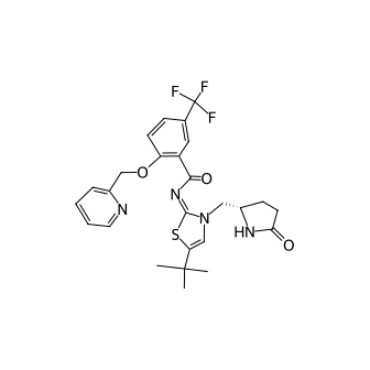 CC(C)(C)c1cn(C[C@@H]2CCC(=O)N2)c(=NC(=O)c2cc(C(F)(F)F)ccc2OCc2ccccn2)s1